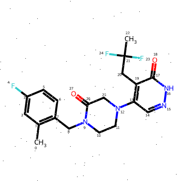 Cc1cc(F)ccc1CN1CCN(c2cn[nH]c(=O)c2CC(C)(F)F)CC1=O